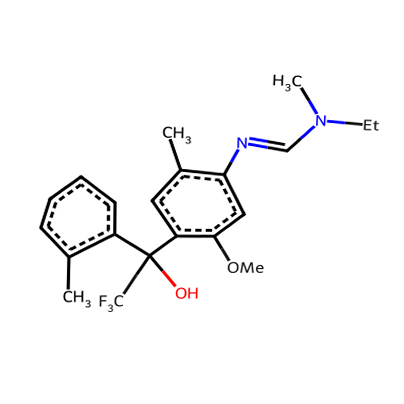 CCN(C)C=Nc1cc(OC)c(C(O)(c2ccccc2C)C(F)(F)F)cc1C